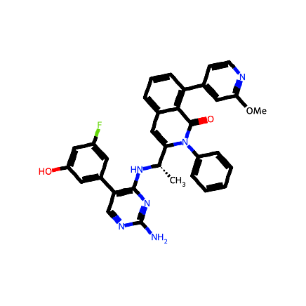 COc1cc(-c2cccc3cc([C@H](C)Nc4nc(N)ncc4-c4cc(O)cc(F)c4)n(-c4ccccc4)c(=O)c23)ccn1